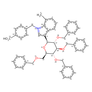 Cc1cccc2c([C@@H]3O[C@H](COCc4ccccc4)[C@@H](OCc4ccccc4)[C@H](OCc4ccccc4)[C@H]3OCc3ccccc3)cn(Cc3ccc(C(=O)O)cc3)c12